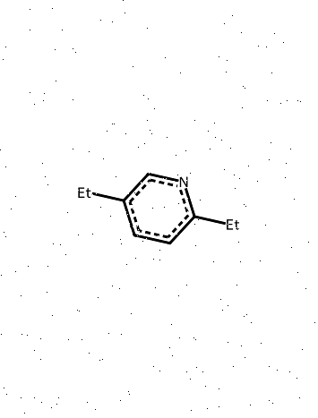 [CH2]Cc1ccc(CC)cn1